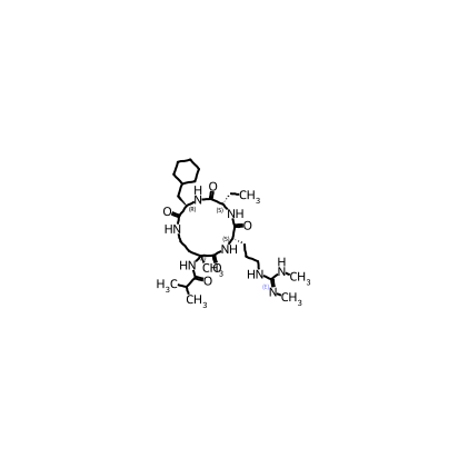 CC[C@@H]1NC(=O)[C@H](CCCN/C(=N/C)NC)NC(=O)[C@](C)(NC(=O)C(C)C)CCNC(=O)[C@@H](CC2CCCCC2)NC1=O